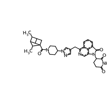 CC1C2CC3(C(=O)N4CCC(n5cc(Cc6ncc7c8c(cccc68)C(=O)N7C6CCC(=O)NC6=O)cn5)CC4)C(C)C1C23